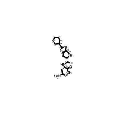 NC(=O)C[C@H](NC(=O)[C@@H]1Cc2nc(C3CCCSC3)[nH]c2CN1)C(=O)O